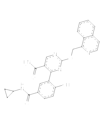 Cc1ccc(C(=O)NC2CC2)cc1-c1nc(OCc2nccc3ccccc23)ncc1C(N)=O